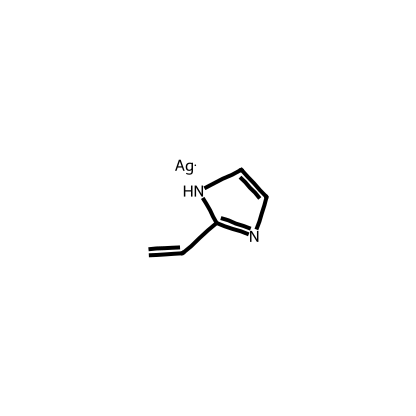 C=Cc1ncc[nH]1.[Ag]